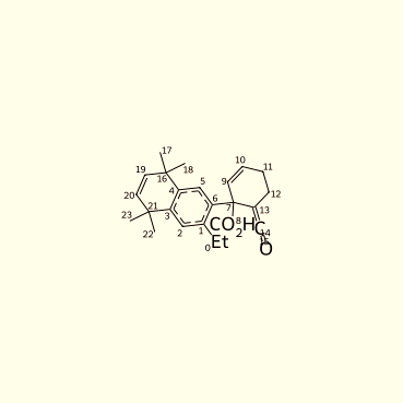 CCc1cc2c(cc1C1(C(=O)O)C=CCCC1=C=O)C(C)(C)C=CC2(C)C